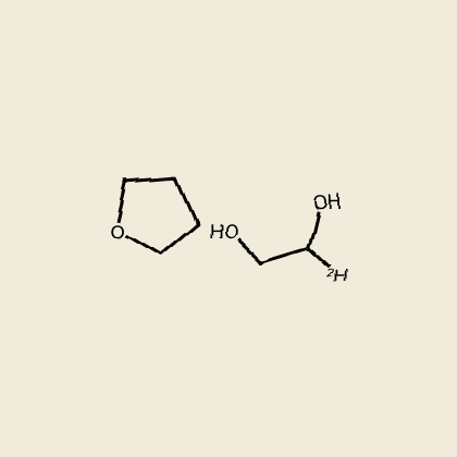 C1CCOC1.[2H]C(O)CO